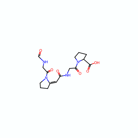 O=CNCC(=O)N1CCC/C1=C/C(=O)NCC(=O)N1CCCC1C(=O)O